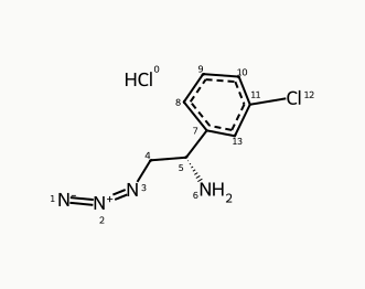 Cl.[N-]=[N+]=NC[C@@H](N)c1cccc(Cl)c1